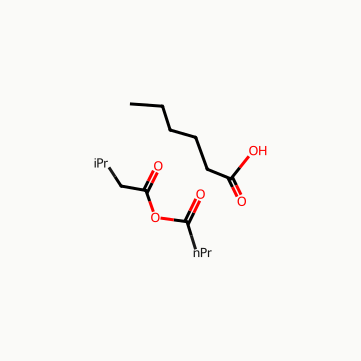 CCCC(=O)OC(=O)CC(C)C.CCCCCC(=O)O